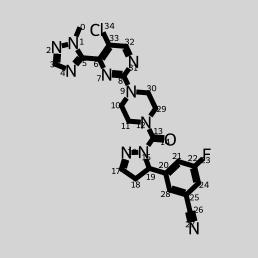 Cn1ncnc1-c1nc(N2CCN(C(=O)N3N=CCC3c3cc(F)cc(C#N)c3)CC2)ncc1Cl